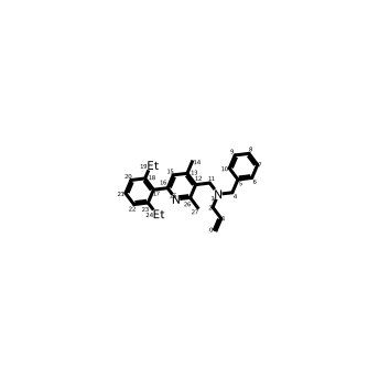 C=CCN(Cc1ccccc1)Cc1c(C)cc(-c2c(CC)cccc2CC)nc1C